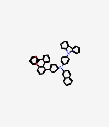 c1ccc(-c2ccccc2-c2c(-c3ccccc3)cccc2-c2ccc(N(c3ccc(-n4c5ccccc5c5ccccc54)cc3)c3ccc4ccccc4c3)cc2)cc1